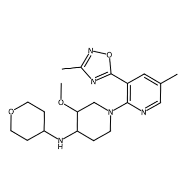 COC1CN(c2ncc(C)cc2-c2nc(C)no2)CCC1NC1CCOCC1